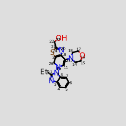 CCc1nc2ccccc2n1N1C=C(N2CCOCC2)c2nc(CO)sc2C1